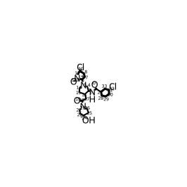 O=C(NC1CN(c2ccc(Cl)c[n+]2[O-])CCC1CC(=O)N1CCC(O)CC1)c1cccc(Cl)c1